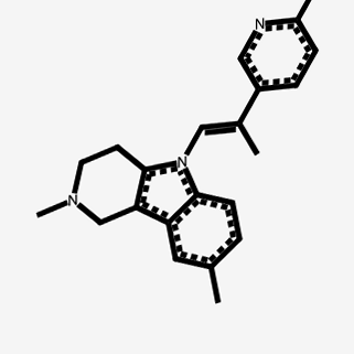 CC(=Cn1c2c(c3cc(C)ccc31)CN(C)CC2)c1ccc(C)nc1